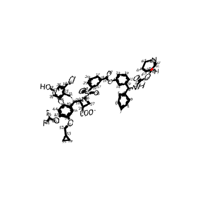 O=C(N[C@@H](c1ccccc1)c1cccc(OC(=O)c2cccc(S(=O)(=O)N3CC(C(=O)[O-])C3[C@@H](Cc3c(Cl)c[n+](O)cc3Cl)c3ccc(OC(F)F)c(OCC4CC4)c3)c2)c1)O[C@H]1CN2CCC1CC2